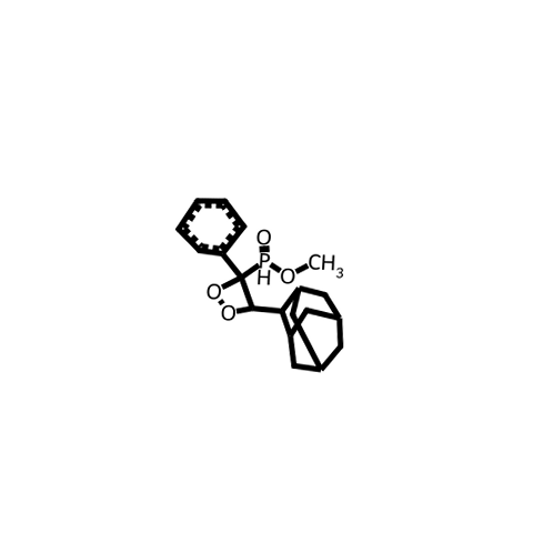 CO[PH](=O)C1(c2ccccc2)OOC1C1C2CC3CC(C2)CC1C3